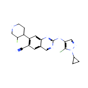 N#Cc1cc2cnc(Nc3cnn(C4CC4)c3Cl)nc2cc1C1CCNCC1F